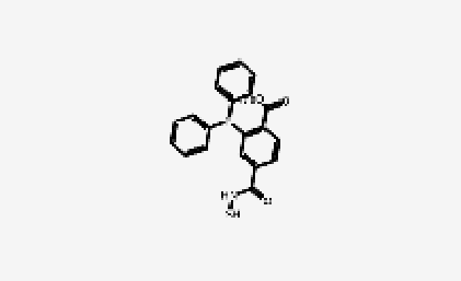 COC(=O)c1ccc(C(=O)NS)cc1P(c1ccccc1)c1ccccc1